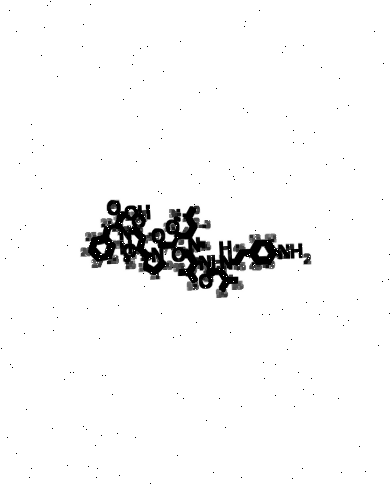 CC[C@H](C)[C@@H]([C@@H](CC(=O)N1CCC[C@H]1[C@H](OC)[C@@H](C)C(=O)N[C@@H](Cc1ccccc1)C(=O)O)OC)N(C)C(=O)[C@@H](NC(=O)[C@@H](NCCc1ccc(N)cc1)C(C)C)C(C)C